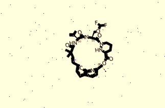 C=C(C)[C@@H]1NC(=O)C(C)(C)/C=C/c2ccc3ccc(nc3c2)[C@@H](C)OC(=O)[C@@H]2CCCN(N2)C(=O)[C@H](COC(F)F)NC1=O